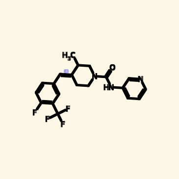 CC1CN(C(=O)Nc2cccnc2)CC/C1=C\c1ccc(F)c(C(F)(F)F)c1